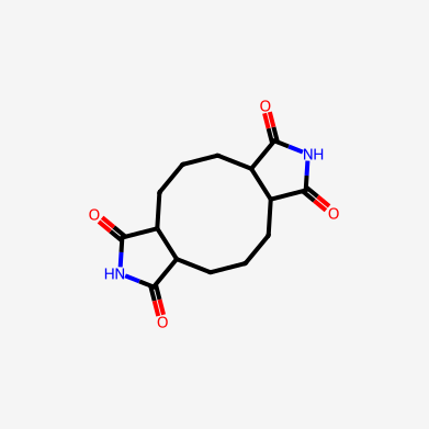 O=C1NC(=O)C2CCCC3C(=O)NC(=O)C3CCCC12